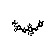 Cc1ccc(-c2ccc(-c3c4c(c(-c5ccc(-c6ccc(OC(F)(F)F)c(S(F)(F)(F)(F)F)c6)s5)c5nsnc35)N=S=N4)s2)cc1C